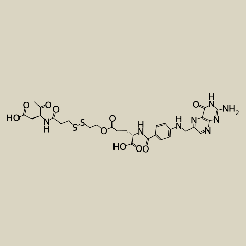 CC(=O)[C@H](CC(=O)O)NC(=O)CCSSCCOC(=O)CC[C@H](NC(=O)c1ccc(NCc2cnc3nc(N)[nH]c(=O)c3n2)cc1)C(=O)O